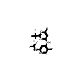 CC(=O)Nc1cc(Nc2cc(C)nc(C(C)(F)F)n2)c(C)cn1